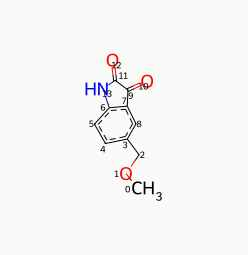 COCc1ccc2c(c1)C(=O)C(=O)N2